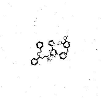 COc1ccc(CN2C=C(c3cc(-c4cccs4)nc([S+]([O-])CCC(OCc4ccccc4)c4ccccc4)n3)C=CC2)cc1OC